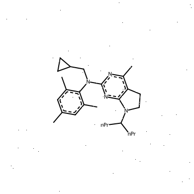 CCCC(CCC)N1CCc2c(C)nc(N(CC3CC3)c3c(C)cc(C)cc3C)nc21